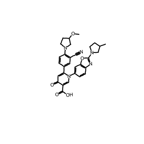 COC1CCN(c2ccc(-c3cc(=O)c(C(=O)O)cn3-c3ccc4nc(N5CCC(C)C5)oc4c3)cc2C#N)C1